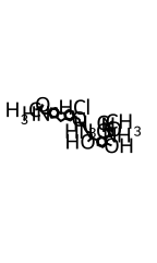 CC(=O)Nc1ccc2c(c1)Cc1cc(OCCNCC(O)c3ccc(O)c(NS(=O)(=O)N(C)C)c3)ccc1-2.Cl